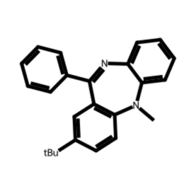 CN1c2ccccc2N=C(c2ccccc2)c2cc(C(C)(C)C)ccc21